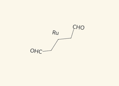 O=CCCCC=O.[Ru]